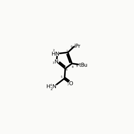 CC(C)c1[nH]nc(C(N)=O)c1C(C)(C)C